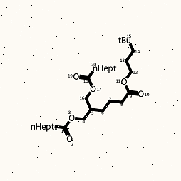 CCCCCCCC(=O)OCC(CCCC(=O)OCCCC(C)(C)C)COC(=O)CCCCCCC